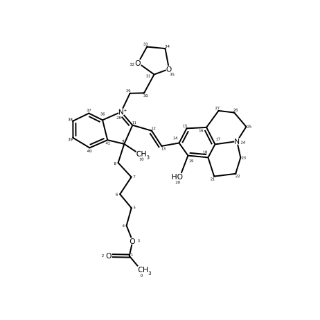 CC(=O)OCCCCCC1(C)C(/C=C/c2cc3c4c(c2O)CCCN4CCC3)=[N+](CCC2OCCO2)c2ccccc21